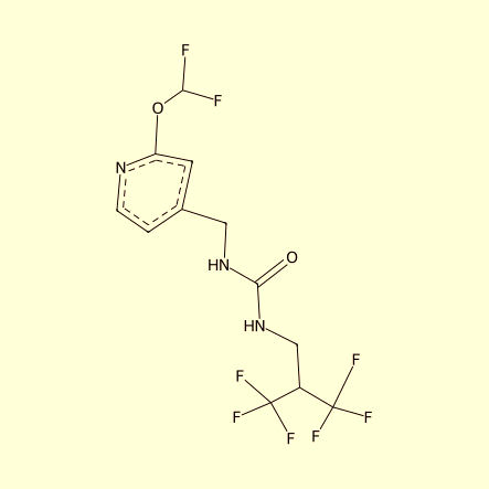 O=C(NCc1ccnc(OC(F)F)c1)NCC(C(F)(F)F)C(F)(F)F